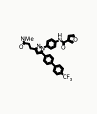 CNC(=O)CCc1cc(-c2ccc(-c3ccc(C(F)(F)F)cc3)cc2)n(-c2ccc(NC(=O)c3ccoc3)cc2)n1